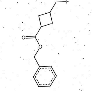 O=C(OCc1ccccc1)C1CC(CF)C1